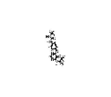 CC(C)(C)NC(=O)Nc1ccc(Nc2ncnc3c2OC(C)(C)C(=O)N3)cc1